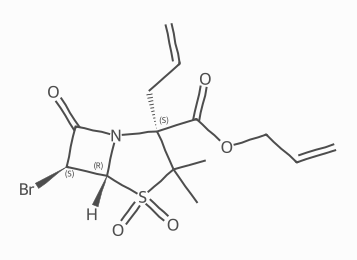 C=CCOC(=O)[C@]1(CC=C)N2C(=O)[C@H](Br)[C@H]2S(=O)(=O)C1(C)C